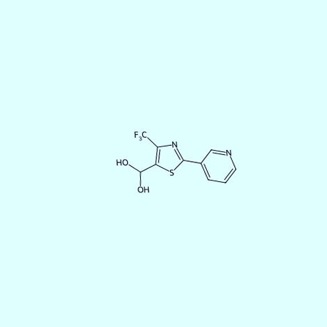 OC(O)c1sc(-c2cccnc2)nc1C(F)(F)F